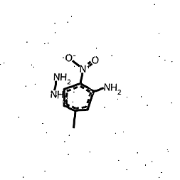 Cc1ccc([N+](=O)[O-])c(N)c1.NN